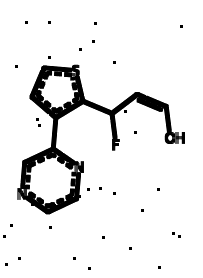 O/C=C\C(F)c1sccc1-c1cnccn1